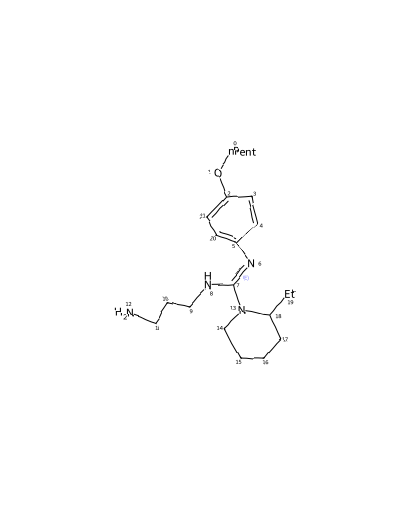 CCCCCOc1ccc(/N=C(\NCCCN)N2CCCCC2CC)cc1